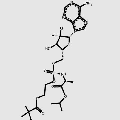 CC(C)OC(=O)[C@H](C)N[P@@](=O)(OCCSC(=O)C(C)(C)C)OC[C@H]1O[C@@H](n2cnc3c(N)ncnc32)[C@](C)(Cl)[C@@H]1O